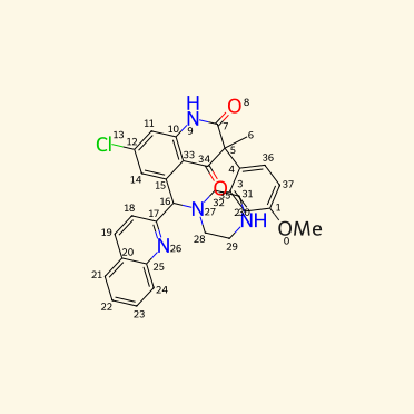 COc1ccc(C2(C)C(=O)Nc3cc(Cl)cc(C(c4ccc5ccccc5n4)N4CCNCC4)c3C2=O)cc1